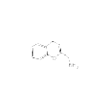 NCC1=CCc2ccccc2O1